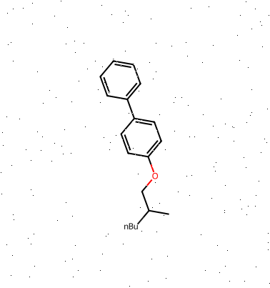 CCCCC(C)COc1ccc(-c2cc[c]cc2)cc1